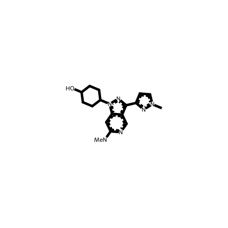 CNc1cc2c(cn1)c(-c1ccn(C)n1)nn2C1CCC(O)CC1